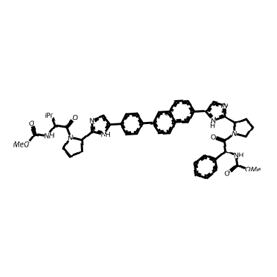 COC(=O)NC(C(=O)N1CCCC1c1ncc(-c2ccc(-c3ccc4cc(-c5cnc(C6CCCN6C(=O)[C@@H](NC(=O)OC)c6ccccc6)[nH]5)ccc4c3)cc2)[nH]1)C(C)C